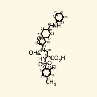 Cc1ccc(S(=O)(=O)N[C@@H](CN(C=O)C2=NOC3(CCC(CNc4ccccn4)CC3)C2)C(=O)O)c(Cl)c1